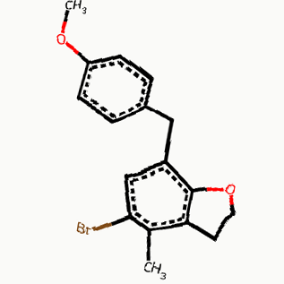 COc1ccc(Cc2cc(Br)c(C)c3c2OCC3)cc1